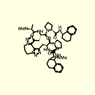 CN[C@@H](C)C(=O)N[C@@H](Cc1nnn2c1-c1c(C[C@H](NC(=O)[C@H](C)NC)C(=O)N3CCC[C@H]3C(=O)N[C@@H]3CCCc4ccccc43)nnn1CCC2)C(=O)N1CCC[C@H]1C(=O)NC1CCCc2ccccc21